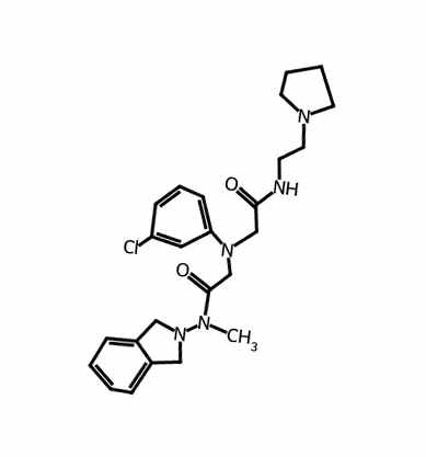 CN(C(=O)CN(CC(=O)NCCN1CCCC1)c1cccc(Cl)c1)N1Cc2ccccc2C1